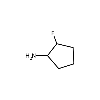 NC1CCCC1F